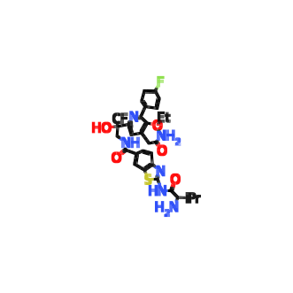 CCOc1c(CC(N)=O)cc([C@@](O)(CNC(=O)c2ccc3nc(NC(=O)C(N)C(C)C)sc3c2)C(F)(F)F)nc1-c1ccc(F)cc1